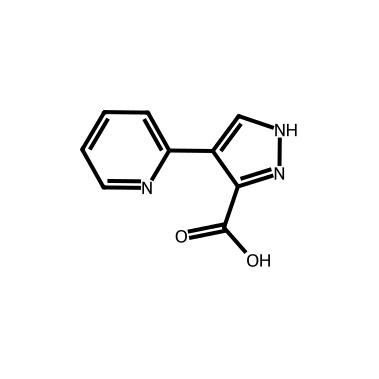 O=C(O)c1n[nH]cc1-c1ccccn1